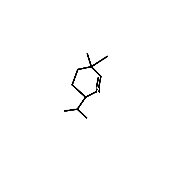 CC(C)C1CCC(C)(C)C=N1